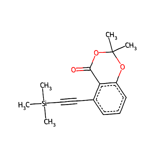 CC1(C)OC(=O)c2c(C#C[Si](C)(C)C)cccc2O1